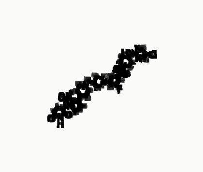 Cn1c(=O)n(C2CCC(=O)NC2=O)c2cccc(C3CCN(CC4CCN(c5cc(F)cc(S(=O)(=O)N6CCC(Nc7ncc(Cl)cn7)CC6)c5)CC4)CC3)c21